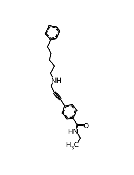 CCNC(=O)c1ccc(C#CCNCCCCCc2ccccc2)cc1